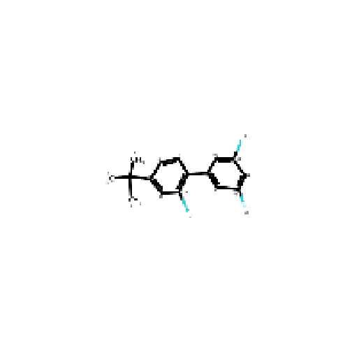 CC(C)(C)c1ccc(-c2cc(F)cc(F)c2)c(F)c1